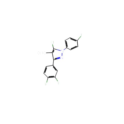 O=Cc1c(-c2ccc(F)c(F)c2)nn(-c2ccc(F)cc2)c1Cl